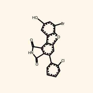 O=C1NC(=O)c2c1c(-c1ccccc1Cl)cc1oc3c(Br)cc(O)cc3c21